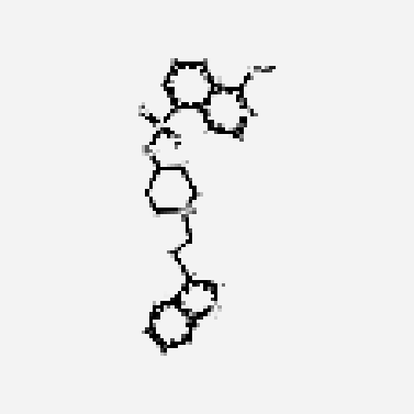 COc1nccc2c(S(=O)(=O)NC3CCN(CCc4coc5ccccc45)CC3)cccc12